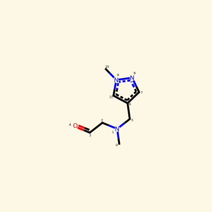 CN(CC=O)Cc1cnn(C)c1